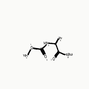 CCCOC(=O)NC(C(=O)C(C)(C)C)C(C)C